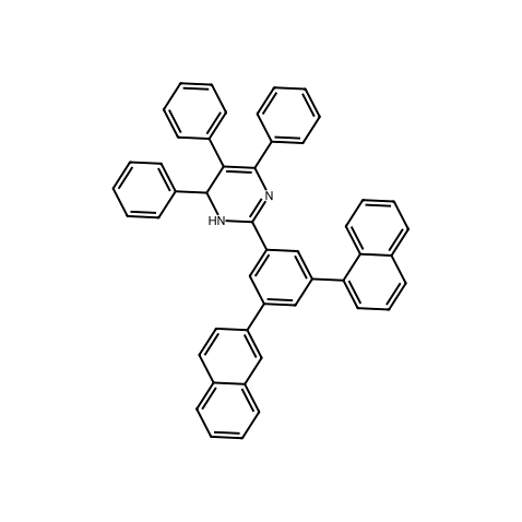 c1ccc(C2=C(c3ccccc3)C(c3ccccc3)NC(c3cc(-c4ccc5ccccc5c4)cc(-c4cccc5ccccc45)c3)=N2)cc1